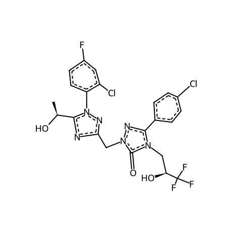 C[C@H](O)c1nc(Cn2nc(-c3ccc(Cl)cc3)n(C[C@H](O)C(F)(F)F)c2=O)nn1-c1ccc(F)cc1Cl